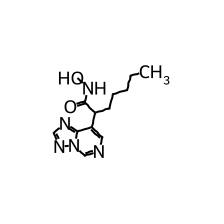 CCCCCC(C(=O)NO)c1cncn2ncnc12